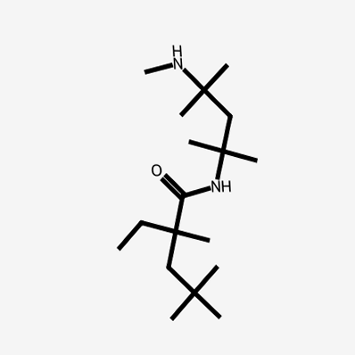 CCC(C)(CC(C)(C)C)C(=O)NC(C)(C)CC(C)(C)NC